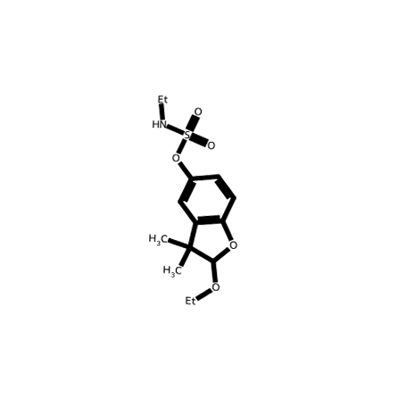 CCNS(=O)(=O)Oc1ccc2c(c1)C(C)(C)C(OCC)O2